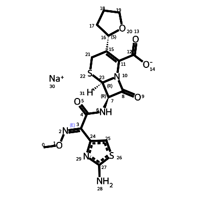 CO/N=C(/C(=O)N[C@@H]1C(=O)N2C(C(=O)[O-])=C([C@@H]3CCCO3)CS[C@H]12)c1csc(N)n1.[Na+]